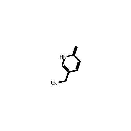 C=C1C=CC(CC(C)(C)C)=CN1